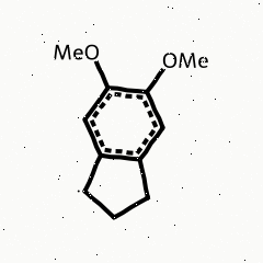 COc1cc2c(cc1OC)CC[CH]2